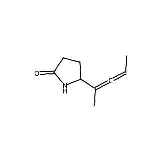 CC=C=C(C)C1CCC(=O)N1